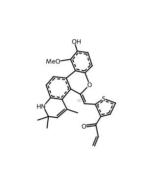 C=CC(=O)c1ccsc1/C=C1\Oc2ccc(O)c(OC)c2-c2ccc3c(c21)C(C)=CC(C)(C)N3